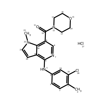 Cc1ccc(Nc2ncc(C(=O)N3CCOCC3)c3c2ccn3C)cc1Cl.Cl